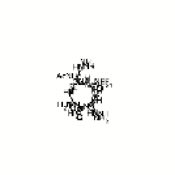 CC(=O)N[C@@H](CCCNC(=N)N)C(=O)N[C@H]1CCC(=O)NCCC[C@@H](C(N)=O)NC(=O)[C@H](Cc2c[nH]c3ccccc23)NC(=O)[C@H](CCCNC(=N)N)NC(=O)[C@@H](Cc2ccc(C(F)(F)F)cc2)NC(=O)[C@H](CCN)NC1=O